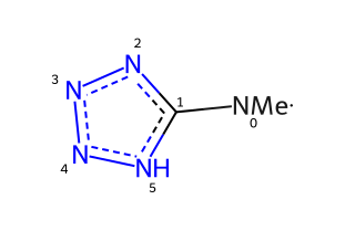 C[N]c1nnn[nH]1